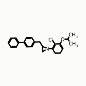 CC(C)OC1=CC[CH]C(N2CC2Cc2ccc(-c3ccccc3)cc2)=C1Cl